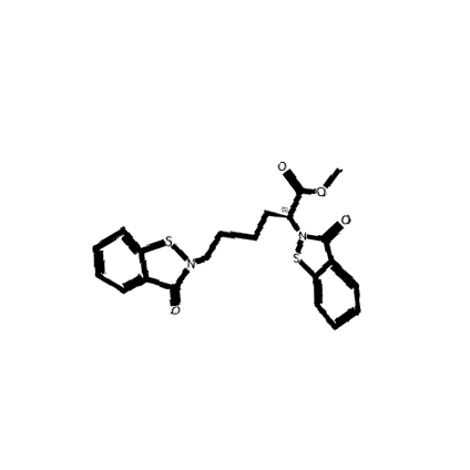 COC(=O)[C@H](CCCCn1sc2ccccc2c1=O)n1sc2ccccc2c1=O